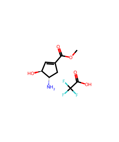 COC(=O)C1=C[C@H](O)[C@@H](N)C1.O=C(O)C(F)(F)F